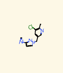 C=Nc1ccn(Cc2cnc(C)c(Cl)c2)n1